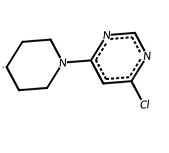 Clc1cc(N2CC[CH]CC2)ncn1